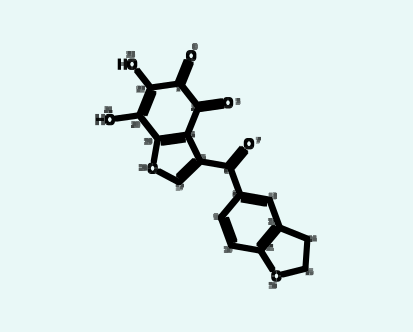 O=C1C(=O)c2c(C(=O)c3ccc4c(c3)CCO4)coc2C(O)=C1O